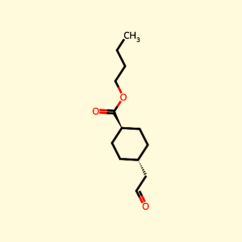 CCCCOC(=O)[C@H]1CC[C@H](CC=O)CC1